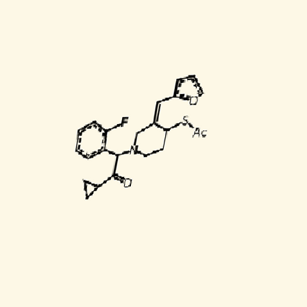 CC(=O)SC1CCN(C(C(=O)C2CC2)c2ccccc2F)C/C1=C/c1ccco1